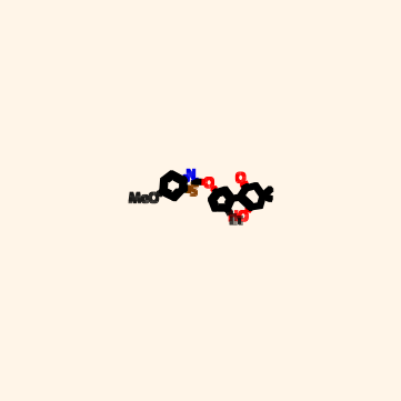 CCc1ccc(Oc2nc3ccc(OC)cc3s2)cc1C1=C(O)CC(C)(C)CC1=O